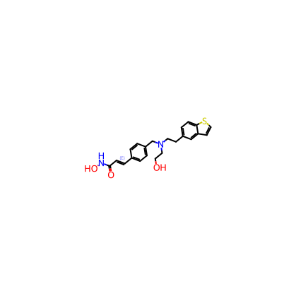 O=C(/C=C/c1ccc(CN(CCO)CCc2ccc3sccc3c2)cc1)NO